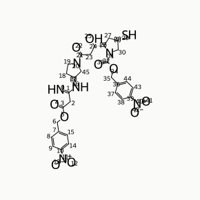 N=C(CC(=O)OCc1ccc([N+](=O)[O-])cc1)N[C@H]1CCN(C(=O)CC(O)[C@@H]2C[C@H](S)CN2C(=O)OCc2ccc([N+](=O)[O-])cc2)C1